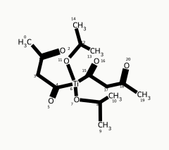 CC(=O)C[C](=O)[Ti]([O]C(C)C)([O]C(C)C)[C](=O)CC(C)=O